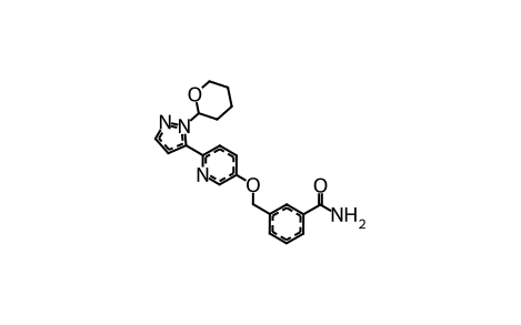 NC(=O)c1cccc(COc2ccc(-c3ccnn3C3CCCCO3)nc2)c1